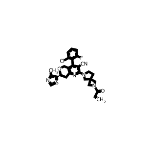 C=CC(=O)N1CC2(CCN(c3nc4c(c(-c5c(F)cccc5Cl)c3C#N)CO[C@H](c3scnc3C)C4)C2)C1